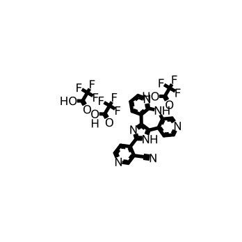 N#Cc1cnccc1-c1nc2c([nH]1)-c1ccncc1Nc1ncccc1-2.O=C(O)C(F)(F)F.O=C(O)C(F)(F)F.O=C(O)C(F)(F)F